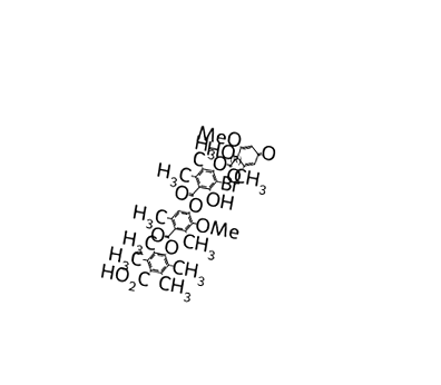 COC1=CC(=O)C=C(C)[C@]1(O)C(=O)Oc1c(C)c(C)c(C(=O)Oc2cc(C)c(C(=O)Oc3c(C)c(C)c(C(=O)O)c(C)c3C)c(C)c2OC)c(O)c1Br